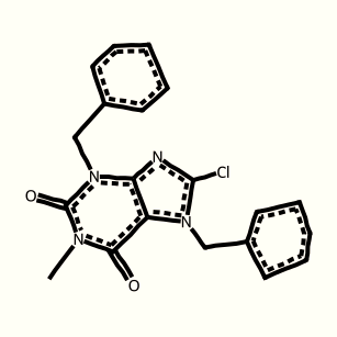 Cn1c(=O)c2c(nc(Cl)n2Cc2ccccc2)n(Cc2ccccc2)c1=O